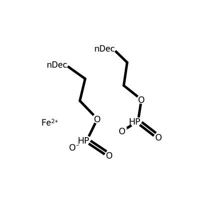 CCCCCCCCCCCCO[PH](=O)[O-].CCCCCCCCCCCCO[PH](=O)[O-].[Fe+2]